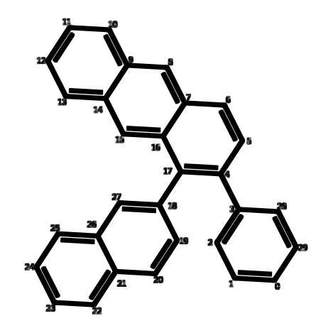 c1ccc(-c2ccc3cc4ccccc4cc3c2-c2ccc3ccccc3c2)cc1